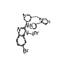 COc1cncn1Cc1cncc(-c2nc3ccc(Br)cc3n2C(C)C)c1